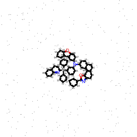 c1ccc(-c2nc3ccc4ccc5ccc(N(c6cccc([Si](c7ccccc7)(c7ccccc7)c7ccc8ccccc8n7)c6)c6ccc7oc8ccccc8c7c6)cc5c4c3o2)cc1